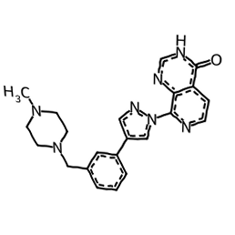 CN1CCN(Cc2cccc(-c3cnn(-c4nccc5c(=O)[nH]cnc45)c3)c2)CC1